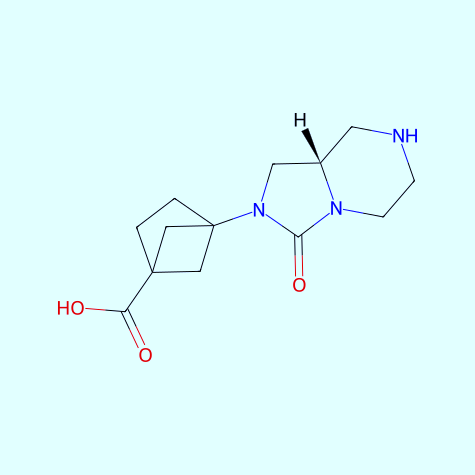 O=C1N2CCNC[C@H]2CN1C12CCC(C(=O)O)(C1)C2